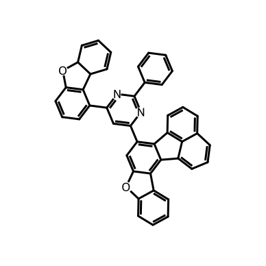 C1=CC2Oc3cccc(-c4cc(-c5cc6oc7ccccc7c6c6c5-c5cccc7cccc-6c57)nc(-c5ccccc5)n4)c3C2C=C1